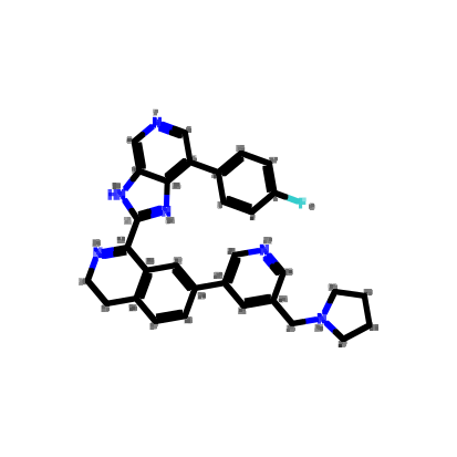 Fc1ccc(-c2cncc3[nH]c(C4=NCCc5ccc(-c6cncc(CN7CCCC7)c6)cc54)nc23)cc1